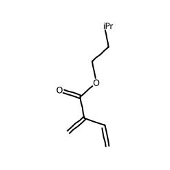 C=CC(=C)C(=O)OCCC(C)C